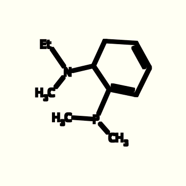 CCN(C)C1CC=CC=C1P(C)C